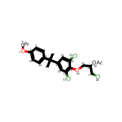 [CH2][CH]COc1ccc(C(C)(C)c2cc(Cl)c(OC[C@H](CCl)OC(C)=O)c(Cl)c2)cc1